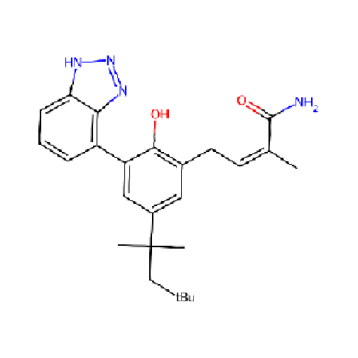 CC(=CCc1cc(C(C)(C)CC(C)(C)C)cc(-c2cccc3[nH]nnc23)c1O)C(N)=O